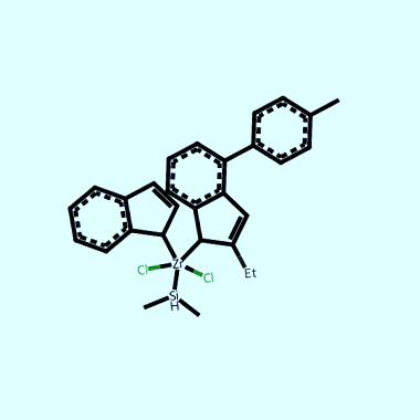 CCC1=Cc2c(-c3ccc(C)cc3)cccc2[CH]1[Zr]([Cl])([Cl])([CH]1C=Cc2ccccc21)[SiH](C)C